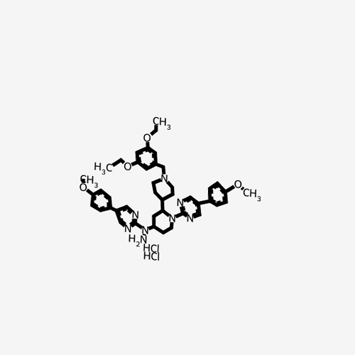 CCOc1cc(CN2CCC(C3CC(N(N)c4ncc(-c5ccc(OC)cc5)cn4)CCN3c3ncc(-c4ccc(OC)cc4)cn3)CC2)cc(OCC)c1.Cl.Cl